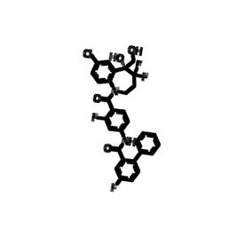 O=C(Nc1ccc(C(=O)N2CCC(F)(F)[C@](O)(CO)c3cc(Cl)ccc32)c(F)c1)c1cc(F)ccc1-c1ccccc1